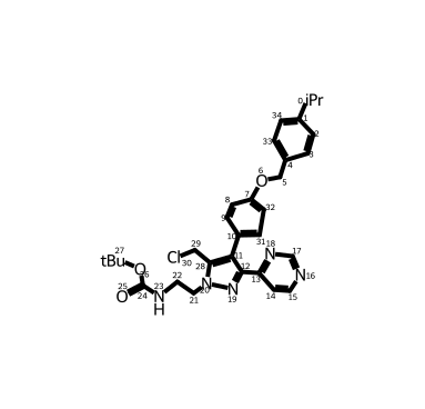 CC(C)c1ccc(COc2ccc(-c3c(-c4ccncn4)nn(CCNC(=O)OC(C)(C)C)c3CCl)cc2)cc1